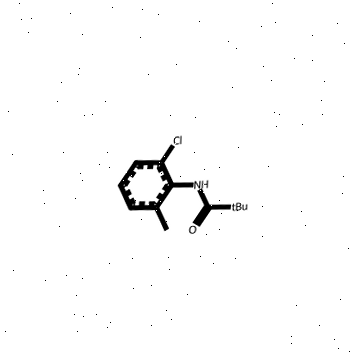 Cc1cccc(Cl)c1NC(=O)C(C)(C)C